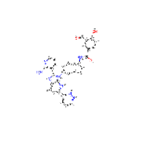 Nc1ncccc1-c1nc2ccc(-c3cccnn3)nc2n1-c1ccc2c(c1)CC[C@@H]2NC(=O)c1ccc(O)c(C=O)c1